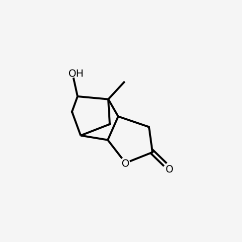 CC12CC(CC1O)C1OC(=O)CC12